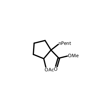 CCCCCC1(C(=O)OC)CCCC1OC(C)=O